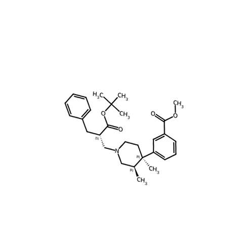 COC(=O)c1cccc([C@]2(C)CCN(C[C@H](Cc3ccccc3)C(=O)OC(C)(C)C)C[C@@H]2C)c1